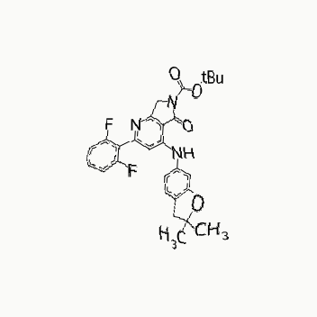 CC(C)(C)OC(=O)N1Cc2nc(-c3c(F)cccc3F)cc(Nc3ccc4c(c3)OC(C)(C)C4)c2C1=O